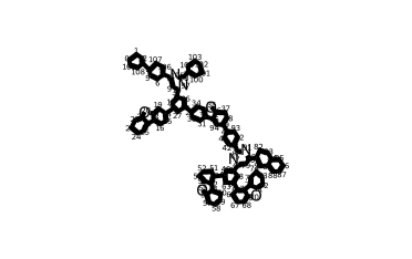 c1ccc(-c2ccc(-c3cc(-c4cc(-c5ccc6c(c5)oc5ccccc56)cc(-c5ccc6c(c5)oc5ccc(-c7ccc(-c8nc(-c9cc(-c%10cccc%11oc%12ccccc%12c%10%11)cc(-c%10cccc%11oc%12ccccc%12c%10%11)c9)cc(-c9ccc%10ccccc%10c9)n8)cc7)cc56)c4)nc(-c4ccccc4)n3)cc2)cc1